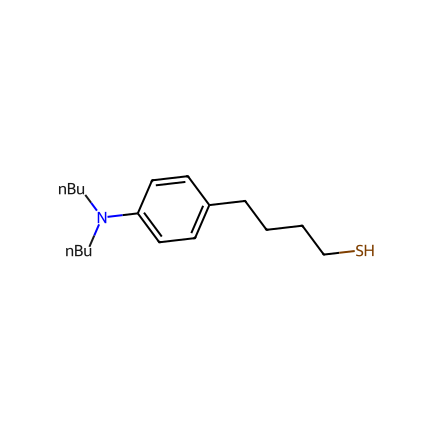 CCCCN(CCCC)c1ccc(CCCCS)cc1